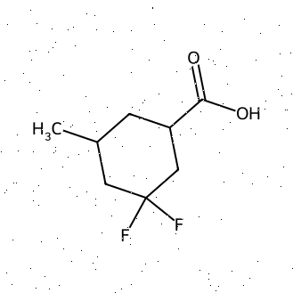 CC1CC(C(=O)O)CC(F)(F)C1